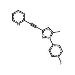 Cc1cc(C#Cc2ccccn2)nn1-c1ccc(F)cc1